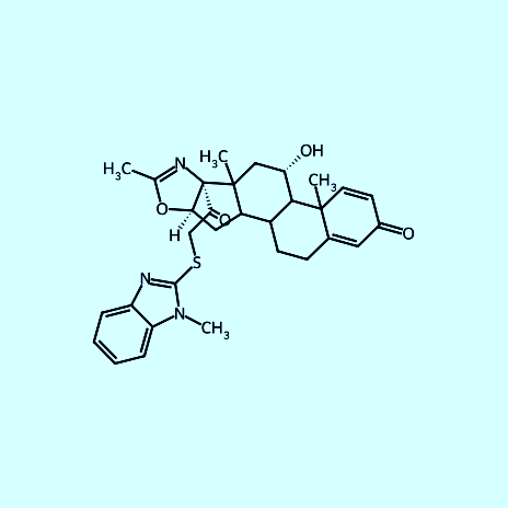 CC1=N[C@]2(C(=O)CSc3nc4ccccc4n3C)[C@@H](CC3C4CCC5=CC(=O)C=CC5(C)C4[C@@H](O)CC32C)O1